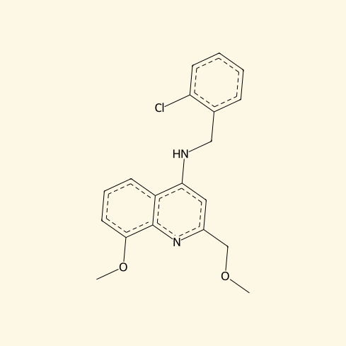 COCc1cc(NCc2ccccc2Cl)c2cccc(OC)c2n1